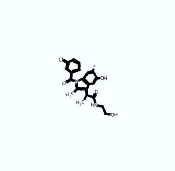 Cc1c(C(C)C(=O)NCCO)c2cc(O)c(F)cc2n1C(=O)c1cccc(Cl)c1